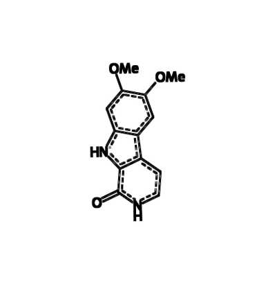 COc1cc2[nH]c3c(=O)[nH]ccc3c2cc1OC